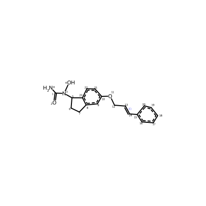 NC(=O)N(O)C1CCc2cc(OC/C=C/c3ccccc3)ccc21